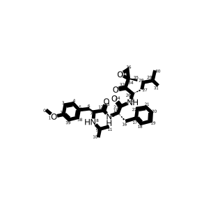 COc1ccc(C[C@H](NC(C)C)C(=O)N[C@@H](Cc2ccccc2)C(=O)N[C@@H](CCC(C)C)C(=O)[C@@]2(C)CO2)cc1